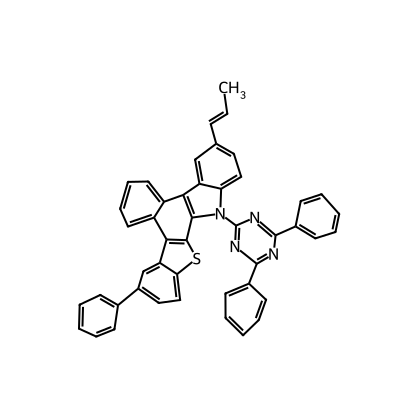 C/C=C/c1ccc2c(c1)c1c3ccccc3c3c4cc(-c5ccccc5)ccc4sc3c1n2-c1nc(-c2ccccc2)nc(-c2ccccc2)n1